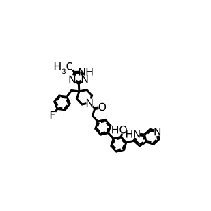 Cc1nc(C2(Cc3ccc(F)cc3)CCN(C(=O)Cc3ccc(-c4cccc(-c5cc6ccncc6[nH]5)c4O)cc3)CC2)n[nH]1